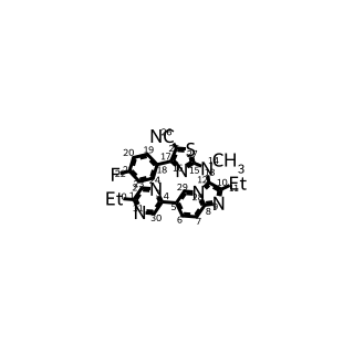 CCc1cnc(-c2ccc3nc(CC)c(N(C)c4nc(-c5ccc(F)cc5)c(C#N)s4)n3c2)cn1